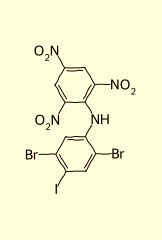 O=[N+]([O-])c1cc([N+](=O)[O-])c(Nc2cc(Br)c(I)cc2Br)c([N+](=O)[O-])c1